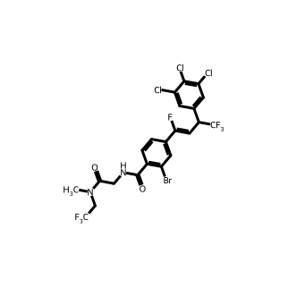 CN(CC(F)(F)F)C(=O)CNC(=O)c1ccc(C(F)=CC(c2cc(Cl)c(Cl)c(Cl)c2)C(F)(F)F)cc1Br